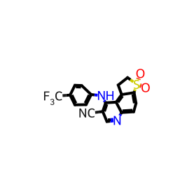 N#Cc1cnc2ccc3c(c2c1Nc1ccc(C(F)(F)F)cc1)CCS3(=O)=O